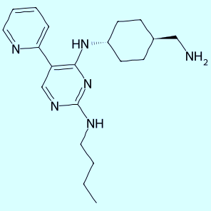 CCCCNc1ncc(-c2ccccn2)c(N[C@H]2CC[C@H](CN)CC2)n1